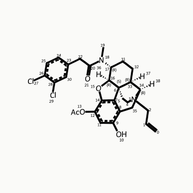 C=CCN1CC[C@]23c4c5c(O)cc(OC(C)=O)c4O[C@H]2[C@H](N(C)C(=O)Cc2ccc(Cl)c(Cl)c2)CC[C@H]3[C@H]1C5